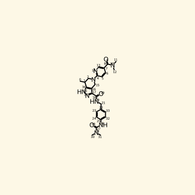 CC1CN(c2ccc(C(=O)N(C)C)cn2)Cc2c(C(=O)NCc3ccc(NC(=O)N(C)C)cc3)n[nH]c21